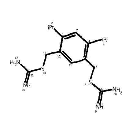 CC(C)c1cc(C(C)C)c(CSC(=N)N)cc1CSC(=N)N